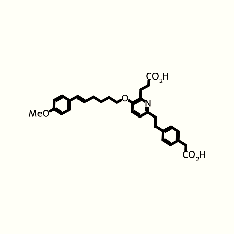 COc1ccc(/C=C/CCCCOc2ccc(CCc3ccc(CC(=O)O)cc3)nc2CCC(=O)O)cc1